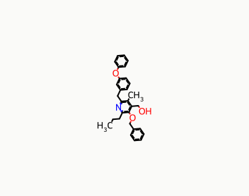 CCCc1nc(Cc2cccc(Oc3ccccc3)c2)c(C)c(CO)c1OCc1ccccc1